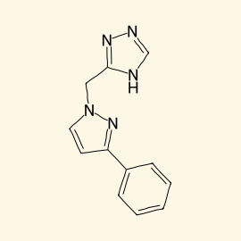 c1ccc(-c2ccn(Cc3nnc[nH]3)n2)cc1